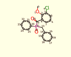 COc1c(Cl)cccc1C(=O)P(=O)(Cc1ccccc1)c1ccccc1